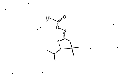 CNC(=O)ON=C(CC(C)(C)C)SCC(C)C